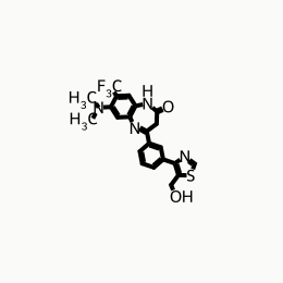 CN(C)c1cc2c(cc1C(F)(F)F)NC(=O)CC(c1cccc(-c3ncsc3CO)c1)=N2